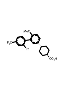 CCc1cc(C(F)(F)F)ccc1-c1cc([C@H]2CC[C@H](C(=O)O)CC2)ccc1OC